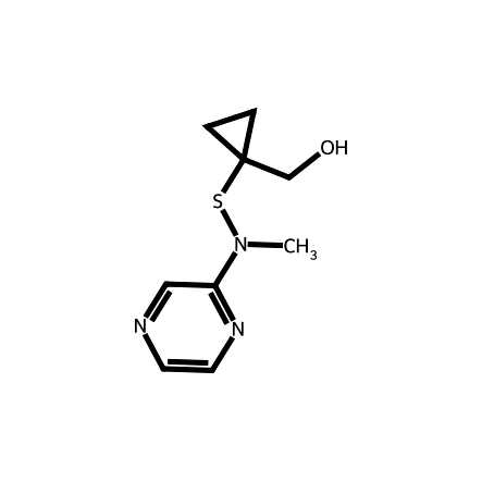 CN(SC1(CO)CC1)c1cnccn1